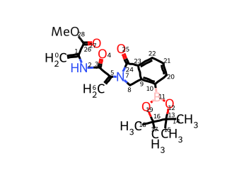 C=C(NC(=O)C(=C)N1Cc2c(B3OC(C)(C)C(C)(C)O3)cccc2C1=O)C(=O)OC